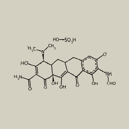 CN(C)[C@@H]1C(O)=C(C(N)=O)C(=O)[C@@]2(O)C(O)=C3C(=O)c4c(cc(Cl)c(NC=O)c4O)CC3CC12.O=S(=O)(O)O